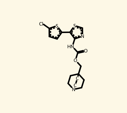 O=C(Nc1ncsc1-c1ccc(Cl)s1)OCC12CCN(CC1)CC2